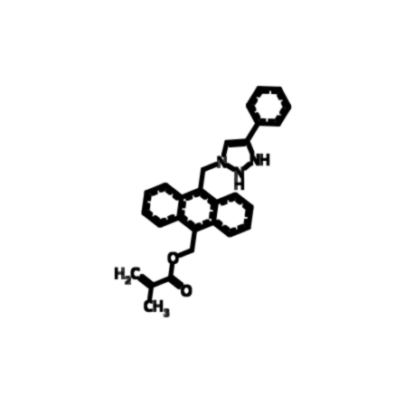 C=C(C)C(=O)OCc1c2ccccc2c(CN2C=C(c3ccccc3)NN2)c2ccccc12